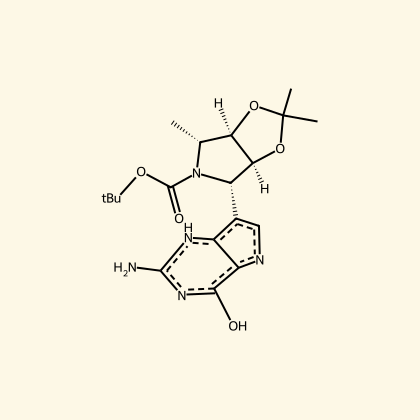 C[C@@H]1[C@H]2OC(C)(C)O[C@H]2[C@H](c2cnc3c(O)nc(N)[nH]c2-3)N1C(=O)OC(C)(C)C